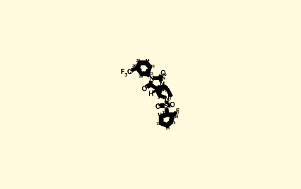 O=C1[C@H]2C3CC(CN3S(=O)(=O)c3ccccc3F)N2C(=O)N1c1cccc(C(F)(F)F)c1